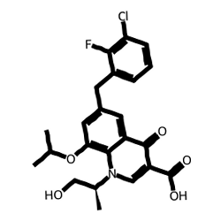 CC(C)Oc1cc(Cc2cccc(Cl)c2F)cc2c(=O)c(C(=O)O)cn([C@@H](C)CO)c12